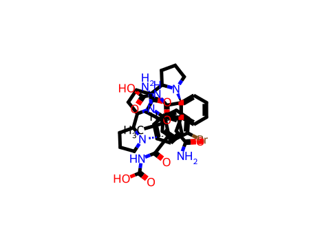 CC1(CC(N)=O)c2ccc(cc2)[C@]1(C(=O)NC(=O)O)N1CCCC1C1CCC(C2CCCN2[C@@]2(C(=O)NC(=O)O)c3ccc(cc3)C2(C)CC(N)=O)N1c1ccc(Br)cc1